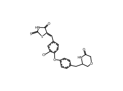 O=C1COCC(Cc2ccc(Oc3ccc(/C=C4\SC(=S)NC4=O)cc3Cl)cc2)N1